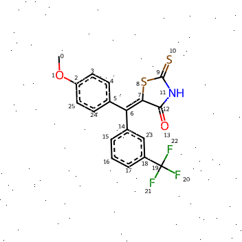 COc1ccc(C(=C2SC(=S)NC2=O)c2cccc(C(F)(F)F)c2)cc1